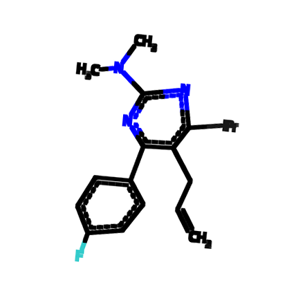 C=CCc1c(-c2ccc(F)cc2)nc(N(C)C)nc1C(C)C